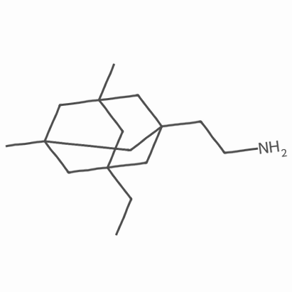 CCC12CC3(C)CC(C)(C1)CC(CCN)(C3)C2